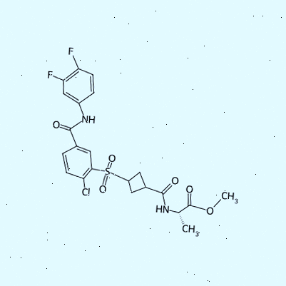 COC(=O)[C@H](C)NC(=O)C1CC(S(=O)(=O)c2cc(C(=O)Nc3ccc(F)c(F)c3)ccc2Cl)C1